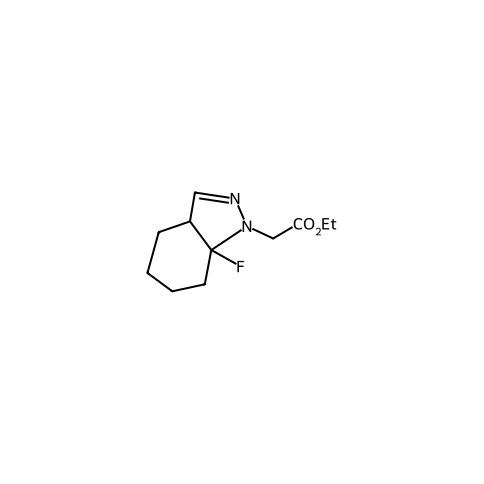 CCOC(=O)CN1N=CC2CCCCC21F